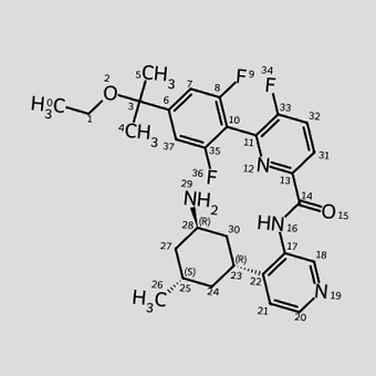 CCOC(C)(C)c1cc(F)c(-c2nc(C(=O)Nc3cnccc3[C@@H]3C[C@H](C)C[C@@H](N)C3)ccc2F)c(F)c1